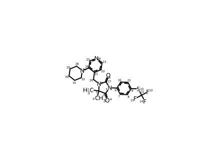 CC1(C)C(=O)N(c2ccc(SC(F)(F)F)cc2)C(=O)N1Cc1ccncc1N1CCCCC1